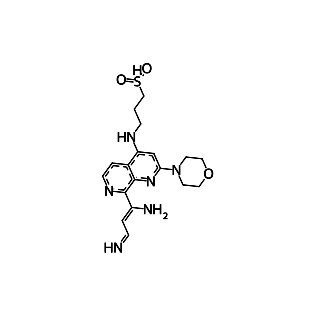 N=C/C=C(\N)c1nccc2c(NCCC[SH](=O)=O)cc(N3CCOCC3)nc12